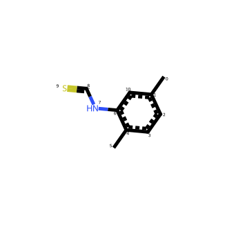 Cc1ccc(C)c(N[C]=S)c1